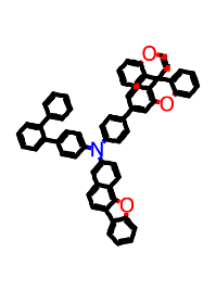 c1ccc(-c2ccccc2-c2ccc(N(c3ccc(-c4ccc5c(c4)Oc4ccccc4C54c5ccccc5Oc5ccccc54)cc3)c3ccc4c(ccc5c6ccccc6oc45)c3)cc2)cc1